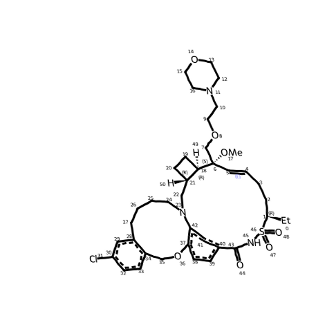 CC[C@@H]1CC/C=C/[C@@](COCCN2CCOCC2)(OC)[C@@H]2CC[C@H]2CN2CCCCc3cc(Cl)ccc3COc3ccc(cc32)C(=O)NS1(=O)=O